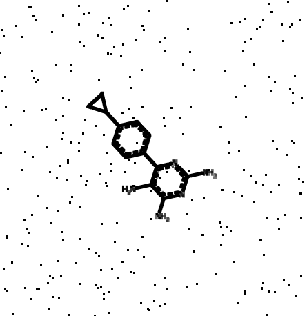 Nc1nc(N)c(N)c(-c2ccc(C3CC3)cc2)n1